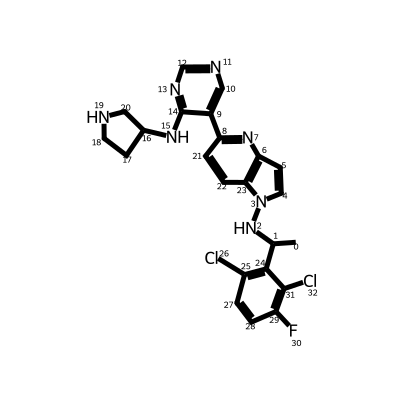 CC(Nn1ccc2nc(-c3cncnc3NC3CCNC3)ccc21)c1c(Cl)ccc(F)c1Cl